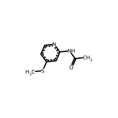 CSc1ccnc(NC(C)=O)c1